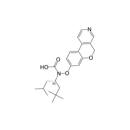 CC(C)C[C@@H](CC(C)(C)C)N(Oc1ccc2c(c1)OCc1cnccc1-2)C(=O)O